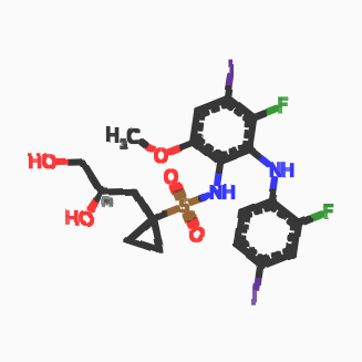 COc1cc(I)c(F)c(Nc2ccc(I)cc2F)c1NS(=O)(=O)C1(C[C@@H](O)CO)CC1